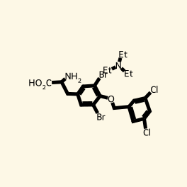 CCN(CC)CC.NC(Cc1cc(Br)c(OCc2cc(Cl)cc(Cl)c2)c(Br)c1)C(=O)O